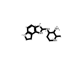 CC1NCCC(NC2Nc3c(ccc4c3CCO4)S2)C1N